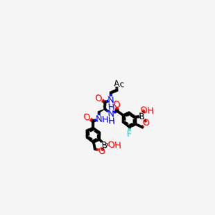 CC(=O)CCNC(=O)[C@H](CNC(=O)c1ccc2c(c1)B(O)OC2)NC(=O)c1cc(F)c2c(c1)B(O)OC2